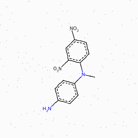 CN(c1ccc(N)cc1)c1ccc([N+](=O)[O-])cc1[N+](=O)[O-]